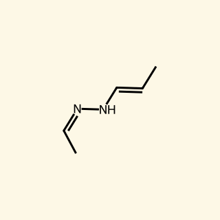 C/C=N\N/C=C/C